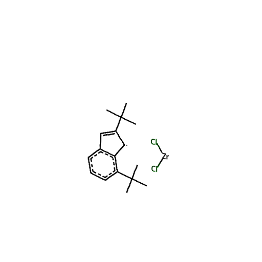 CC(C)(C)C1=Cc2cccc(C(C)(C)C)c2[CH]1.[Cl][Zr][Cl]